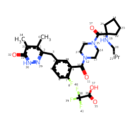 Cc1c(Cc2ccc(F)c(C(=O)N3CCN(C(=O)C4(NCC(C)C)CCCC4)CC3)c2)n[nH]c(=O)c1C.O=C(O)C(F)(F)F